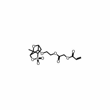 C=CC(=O)OCC(=O)OCCOC1C2CC3C(C)(O2)C1OS3(=O)=O